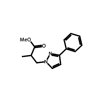 COC(=O)C(C)Cn1ccc(-c2ccccc2)n1